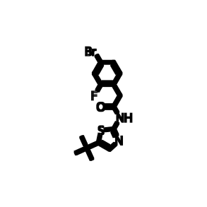 CC(C)(C)c1cnc(NC(=O)Cc2ccc(Br)cc2F)s1